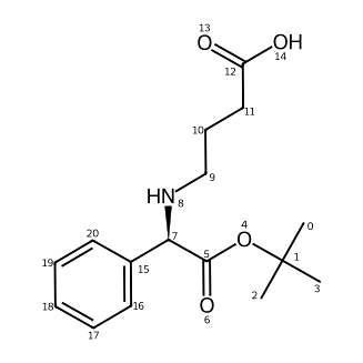 CC(C)(C)OC(=O)[C@H](NCCCC(=O)O)c1ccccc1